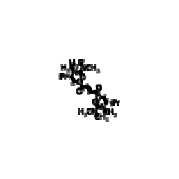 CC(C)[C@@H](COC(=O)/C=C/C(=O)OC[C@H](C(C)C)N(C)C(=O)N(C)C)N(C)C(=O)N(C)C